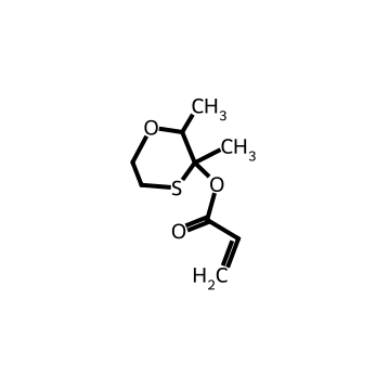 C=CC(=O)OC1(C)SCCOC1C